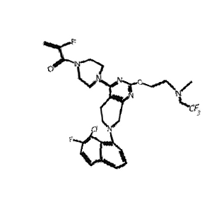 C=C(F)C(=O)N1CCN(c2nc(OCCN(C)CC(F)(F)F)nc3c2CCN(c2cccc4ccc(F)c(Cl)c24)C3)CC1